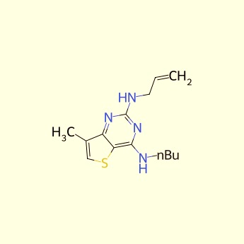 C=CCNc1nc(NCCCC)c2scc(C)c2n1